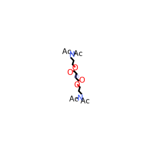 CC(=O)N(CCCOC(=O)/C=C/C(=O)OCCCN(C(C)=O)C(C)=O)C(C)=O